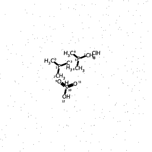 CP(C)C.CP(C)C.Cl.O=[SH](=O)O